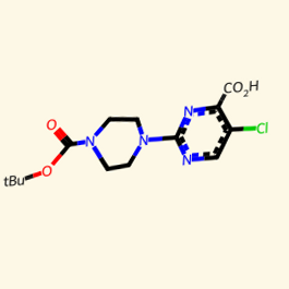 CC(C)(C)OC(=O)N1CCN(c2ncc(Cl)c(C(=O)O)n2)CC1